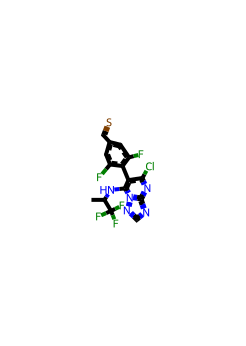 CC(Nc1c(-c2c(F)cc(C=S)cc2F)c(Cl)nc2ncnn12)C(F)(F)F